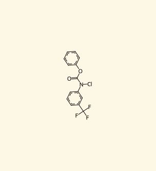 O=C(Oc1ccccc1)N(Cl)c1cccc(C(F)(F)F)c1